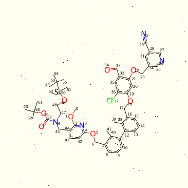 COc1nc(OCc2cccc(-c3cccc(COc4cc(OCc5cncc(C#N)c5)c(C=O)cc4Cl)c3C)c2C)ccc1CN(CCO[Si](C)(C)C(C)(C)C)C(=O)OC(C)(C)C